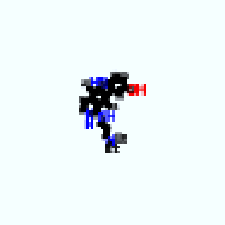 CCN(CC)CCCNC1NCCc2c1c(C)c1c([nH]c3ccc(O)cc31)c2C